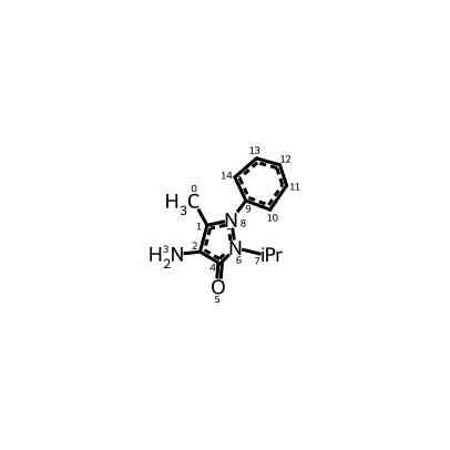 Cc1c(N)c(=O)n(C(C)C)n1-c1ccccc1